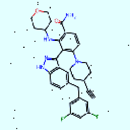 C#CC1CCN(c2ccc(C(N)=O)c(NC3CCOCC3)c2-c2n[nH]c3ccc(Cc4cc(F)cc(F)c4)cc23)CC1